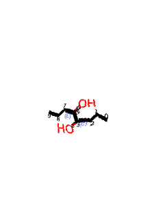 C=C/C=C(O)\C(O)=C/C=C